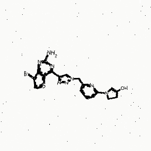 Nc1nc(-c2cn(Cc3cccc(N4C=C(O)CC4)n3)nn2)c2scc(Br)c2n1